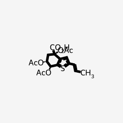 C/C=C/c1cc2c(s1)[C@@H](OC(C)=O)[C@H](OC(C)=O)C[C@]2(OC(C)=O)C(=O)O